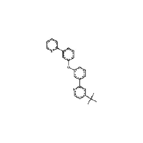 CC(C)(C)c1ccnc(-c2cccc(Oc3cccc(-c4ccccn4)c3)c2)c1